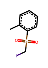 Cc1ccccc1S(=O)(=O)CI